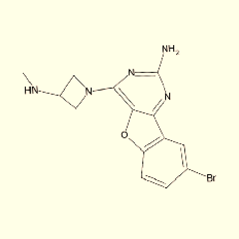 CNC1CN(c2nc(N)nc3c2oc2ccc(Br)cc23)C1